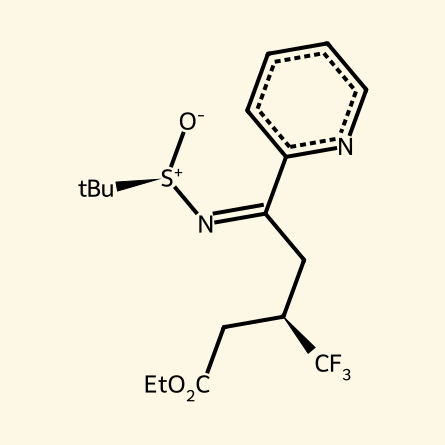 CCOC(=O)C[C@@H](C/C(=N/[S@+]([O-])C(C)(C)C)c1ccccn1)C(F)(F)F